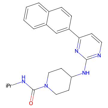 CC(C)NC(=O)N1CCC(Nc2nccc(-c3ccc4ccccc4c3)n2)CC1